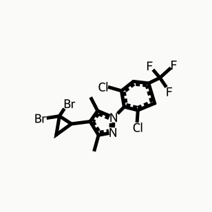 Cc1nn(-c2c(Cl)cc(C(F)(F)F)cc2Cl)c(C)c1C1CC1(Br)Br